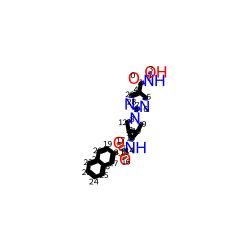 O=C(NO)c1cnc(N2CC3C(C2)C3NS(=O)(=O)c2ccc3ccccc3c2)nc1